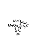 COc1cc(Oc2cc(OC)cc3ccccc23)c2ccccc2c1